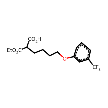 CCOC(=O)C(CCCCOc1cccc(C(F)(F)F)c1)C(=O)O